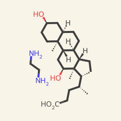 C[C@H](CCC(=O)O)[C@H]1CC[C@H]2[C@@H]3CC[C@@H]4C[C@H](O)CC[C@]4(C)[C@H]3C[C@H](O)[C@]12C.NCCN